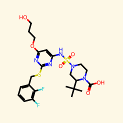 CC(C)(C)C1CN(S(=O)(=O)Nc2cc(OCCCO)nc(SCc3cccc(F)c3F)n2)CCN1C(=O)O